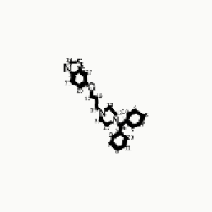 c1ccc(C(c2ccccc2)N2CCN(CCCOc3ccc4ncsc4c3)CC2)cc1